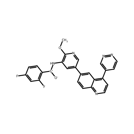 COc1ncc(-c2ccc3nccc(-c4ccnnc4)c3c2)cc1N[S+]([O-])c1ccc(F)cc1F